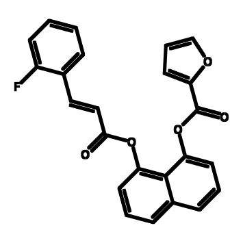 O=C(/C=C/c1ccccc1F)Oc1cccc2cccc(OC(=O)c3ccco3)c12